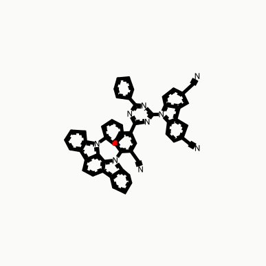 N#Cc1ccc2c(c1)c1cc(C#N)ccc1n2-c1nc(-c2ccccc2)nc(-c2ccc(-n3c4ccccc4c4ccc5c6ccccc6n(-c6ccccc6)c5c43)c(C#N)c2)n1